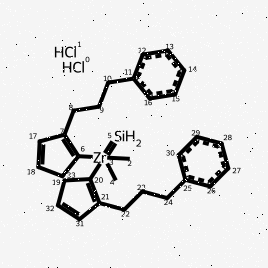 Cl.Cl.[CH3][Zr]([CH3])(=[SiH2])([C]1=C(CCCc2ccccc2)C=CC1)[C]1=C(CCCc2ccccc2)C=CC1